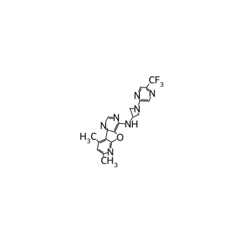 Cc1cc(C)c2c(n1)oc1c(NC3CN(c4cnc(C(F)(F)F)cn4)C3)ncnc12